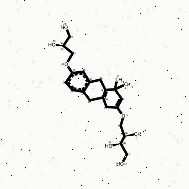 CC1(C)C=C(OC[C@@H](O)[C@H](O)CO)CC2=C1Cc1cc(OC[C@@H](O)CO)ccc1C2